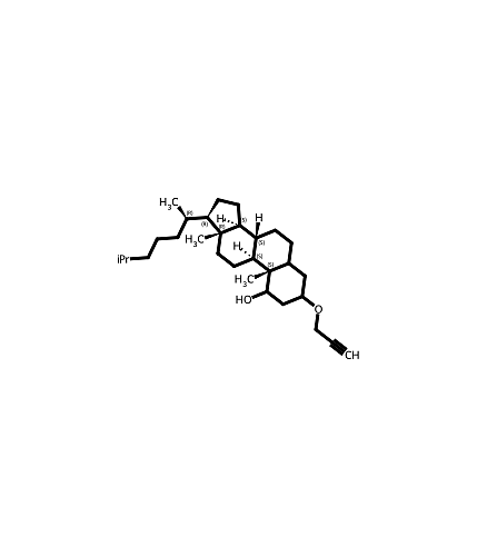 C#CCOC1CC(O)[C@@]2(C)C(CC[C@@H]3[C@@H]2CC[C@]2(C)[C@@H]([C@H](C)CCCC(C)C)CC[C@@H]32)C1